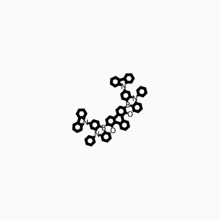 c1ccc(N2c3cc(-n4c5ccccc5c5ccccc54)ccc3B3c4ccc5c6ccc7c(c6c6ccccc6c5c4Oc4cccc2c43)Oc2cccc3c2B7c2ccc(-n4c5ccccc5c5ccccc54)cc2N3c2ccccc2)cc1